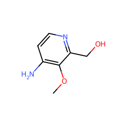 COc1c(N)ccnc1CO